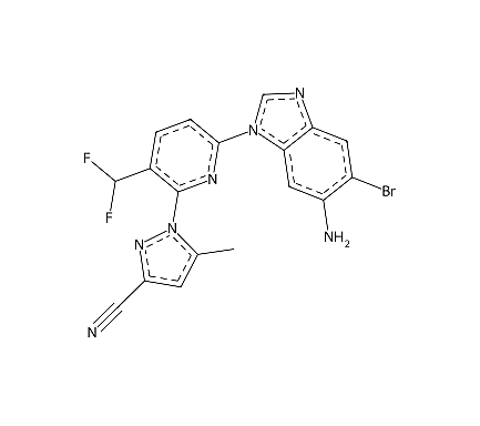 Cc1cc(C#N)nn1-c1nc(-n2cnc3cc(Br)c(N)cc32)ccc1C(F)F